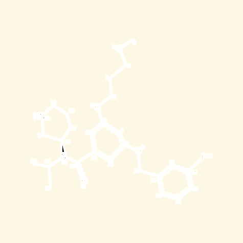 COCCCOc1cc(OCc2cccc(F)c2)cc(C(=O)N(C(C)C)[C@@H]2CCCNC2)c1